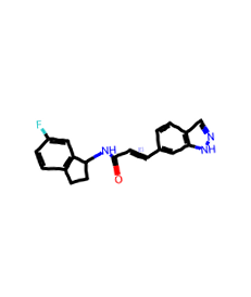 O=C(/C=C/c1ccc2cn[nH]c2c1)NC1CCc2ccc(F)cc21